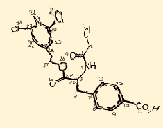 O=C(CCl)N[C@@H](Cc1ccc(C(=O)O)cc1)C(=O)OCc1cc(Cl)nc(Cl)c1